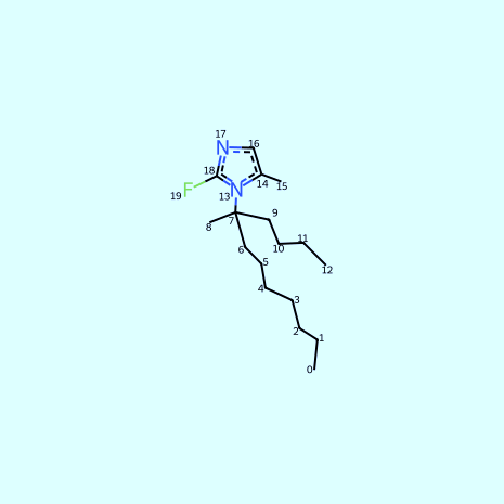 CCCCCCCC(C)(CCCC)n1c(C)cnc1F